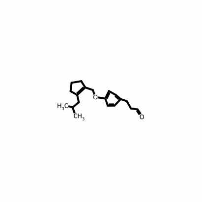 CC(C)CC1=C(COc2ccc(CCC=O)cc2)CCC1